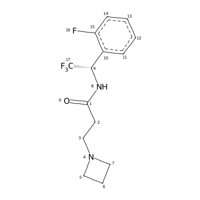 O=C(CCN1CCC1)N[C@@H](c1ccccc1F)C(F)(F)F